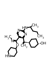 C=C(c1nc(NC(C)CCC)ncc1/C(=N\C)OC1CCNCC1)[C@H]1CC[C@H](O)CC1